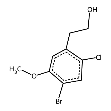 COc1cc(CCO)c(Cl)cc1Br